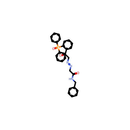 O=C(C/N=N/CC(=O)c1ccccc1P(=O)(c1ccccc1)c1ccccc1)NCc1ccccc1